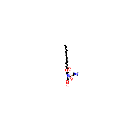 CCCCCCCCCCCCCC(=O)OCCN(CCOC=O)C(=O)SCCN(C)C